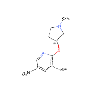 COc1cc([N+](=O)[O-])cnc1O[C@H]1CCN(C)C1